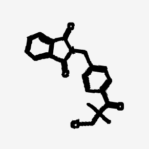 CC(C)(CCl)C(=O)c1ccc(CN2C(=O)c3ccccc3C2=O)cc1